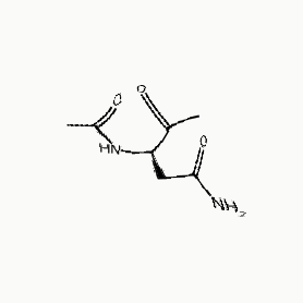 CC(=O)N[C@H](CC(N)=O)C(C)=O